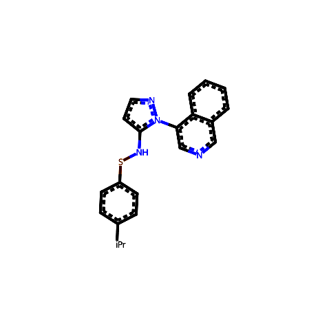 CC(C)c1ccc(SNc2ccnn2-c2cncc3ccccc23)cc1